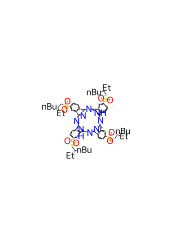 CCCCC(CC)CS(=O)(=O)c1ccc2c(c1)-c1nc-2nc2[nH]c(nc3[n+](C)c(nc4[nH]c(n1)c1ccc(S(=O)(=O)CC(CC)CCCC)cc41)-c1ccc(S(=O)(=O)CC(CC)CCCC)cc1-3)c1ccc(S(=O)(=O)CC(CC)CCCC)cc21